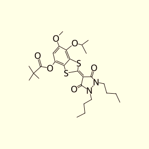 CCCCN1C(=O)C(=C2Sc3c(OC(=O)C(C)(C)C)cc(OC)c(OC(C)C)c3S2)C(=O)N1CCCC